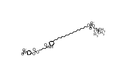 C[N+](C)(C)CCOP(=O)([O-])OCCCCCCCCCCCCCCCCCCc1ccc(NC(=O)CCCCOC(=O)Oc2ccc([N+](=O)[O-])cc2)cc1